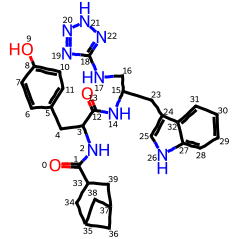 O=C(NC(Cc1ccc(O)cc1)C(=O)NC(CNc1nn[nH]n1)Cc1c[nH]c2ccccc12)C1CC2CC(C2)C1